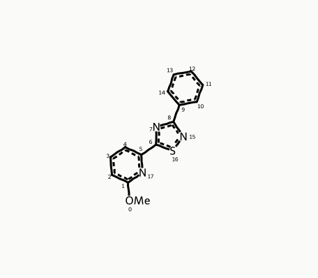 COc1cccc(-c2nc(-c3ccccc3)ns2)n1